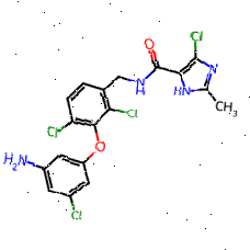 Cc1nc(Cl)c(C(=O)NCc2ccc(Cl)c(Oc3cc(N)cc(Cl)c3)c2Cl)[nH]1